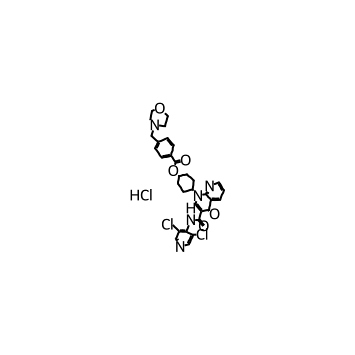 Cl.O=C(O[C@H]1CC[C@H](n2cc(C(=O)Nc3c(Cl)cncc3Cl)c(=O)c3cccnc32)CC1)c1ccc(CN2CCOCC2)cc1